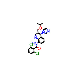 CC(C)OCc1cnc2c(NC(=O)c3c(Cl)cccc3Cl)cccc2c1-n1ccnc1